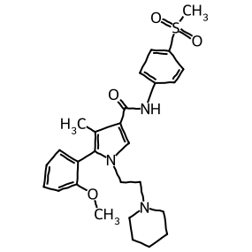 COc1ccccc1-c1c(C)c(C(=O)Nc2ccc(S(C)(=O)=O)cc2)cn1CCN1CCCCC1